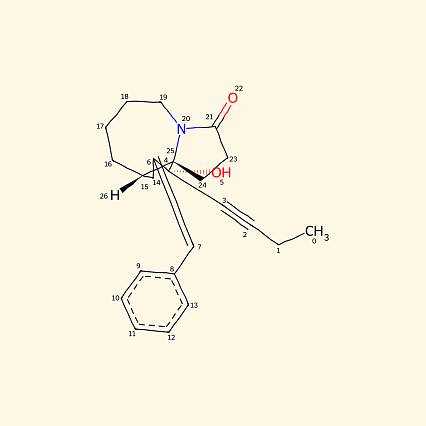 CCC#C[C@@]1(O)/C(=C/c2ccccc2)C[C@@H]2CCCCN3C(=O)CC[C@@]231